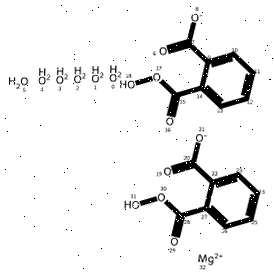 O.O.O.O.O.O.O=C([O-])c1ccccc1C(=O)OO.O=C([O-])c1ccccc1C(=O)OO.[Mg+2]